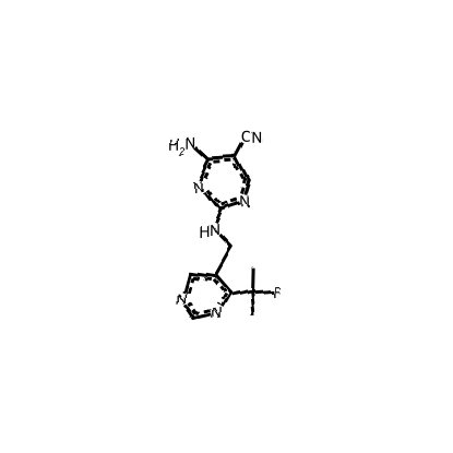 CC(C)(F)c1ncncc1CNc1ncc(C#N)c(N)n1